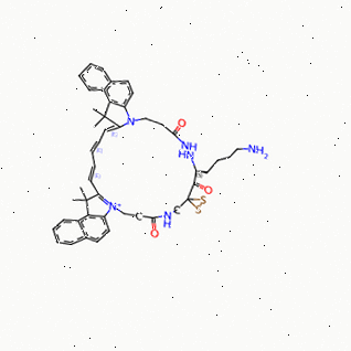 CC1(C)C2=[N+](CCC(=O)NCC3(SS3)C(=O)[C@H](CCCCN)NNC(=O)CCN3/C(=C/C=C/C=C/2)C(C)(C)c2c3ccc3ccccc23)c2ccc3ccccc3c21